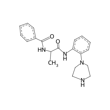 CC(NC(=O)c1ccccc1)C(=O)Nc1ccccc1N1CCNCC1